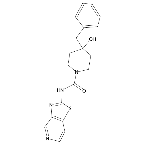 O=C(Nc1nc2cnccc2s1)N1CCC(O)(Cc2ccccc2)CC1